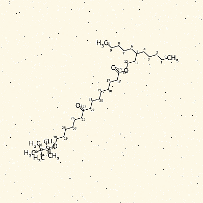 CCCCCC(CCCCC)CCOC(=O)CCCCCCCC(=O)CCCCCCO[Si](C)(C)C(C)(C)C